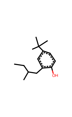 CCC(C)Cc1cc(C(C)(C)C)ccc1O